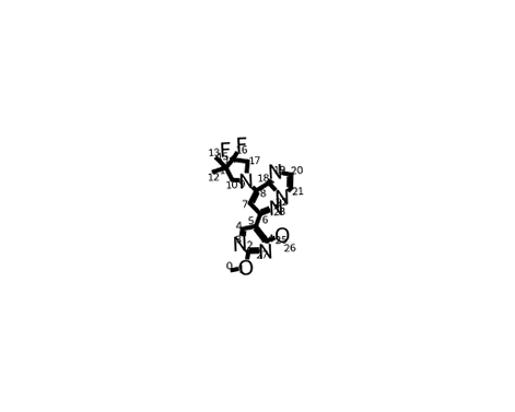 COc1ncc(-c2cc(N3CC(C)(C)C(F)(F)C3)c3nccn3n2)c(OC)n1